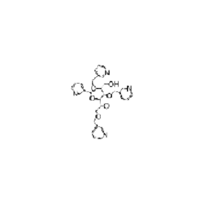 O=C(COCc1cccnc1)[C@@H](OCc1cccnc1)[C@H](OCc1cccnc1)[C@@H](CO)OCc1cccnc1